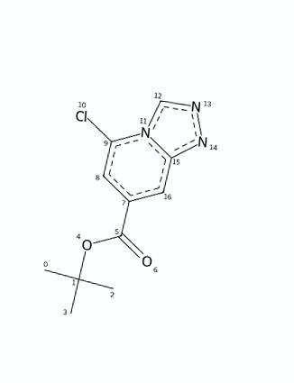 CC(C)(C)OC(=O)c1cc(Cl)n2cnnc2c1